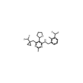 Cc1nc(CC2(C(F)F)CC2)c(C2CCCO2)c(NCc2cccc(C(F)F)c2C)n1